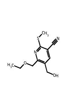 CCOCc1nc(SC)c(C#N)cc1CO